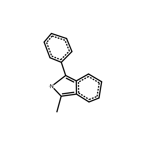 CC1=c2ccccc2=C(c2ccccc2)[N]1